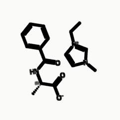 CC[n+]1ccn(C)c1.C[C@H](NC(=O)c1ccccc1)C(=O)[O-]